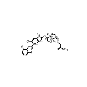 NC(=O)CCO[C@@H]1CO[C@H]2[C@@H]1OC[C@H]2Oc1nc2nc(NCc3c(F)cccc3F)c(Cl)cc2[nH]1